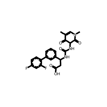 CC1=CN(C)C(=O)C(NC(=O)NC(CC(=O)O)c2cccc(-c3ccc(F)cc3F)c2)C1=O